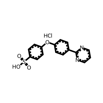 Cl.O=S(=O)(O)c1ccc(Oc2ccc(-c3ncccn3)cc2)cc1